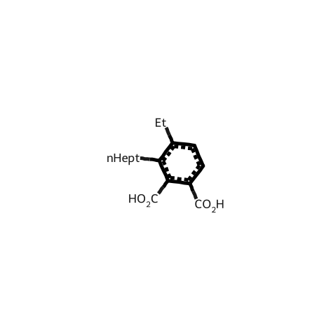 CCCCCCCc1c(CC)ccc(C(=O)O)c1C(=O)O